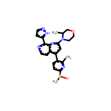 Cc1nc([S+](C)[O-])ccc1-c1cc(N2CCOCC2C)nc2c(-c3ccn[nH]3)nccc12